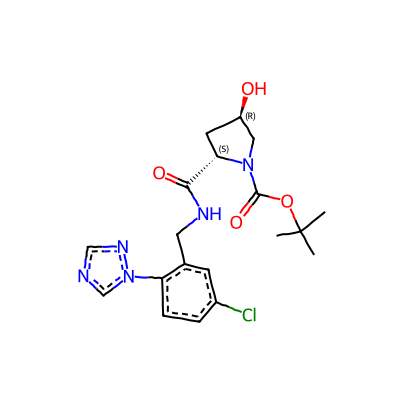 CC(C)(C)OC(=O)N1C[C@H](O)C[C@H]1C(=O)NCc1cc(Cl)ccc1-n1cncn1